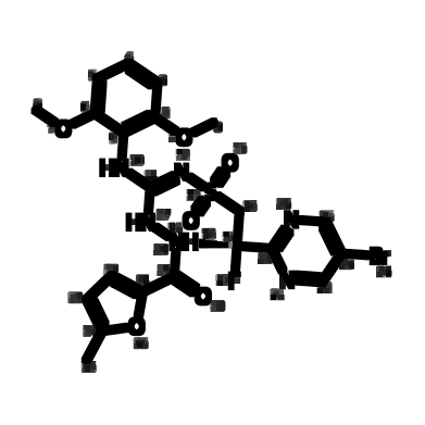 COc1cccc(OC)c1N/C(=N/S(=O)(=O)C[C@](C)(F)c1ncc(Br)cn1)NNC(=O)c1ccc(C)o1